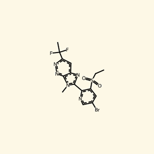 CCS(=O)(=O)c1cc(Br)cnc1-c1nc2cc(C(C)(F)F)nnc2n1C